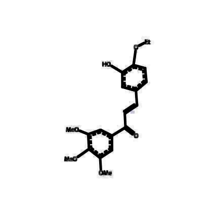 CCOc1ccc(/C=C/C(=O)c2cc(OC)c(OC)c(OC)c2)cc1O